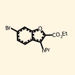 CCCc1c(C(=O)OCC)oc2cc(Br)ccc12